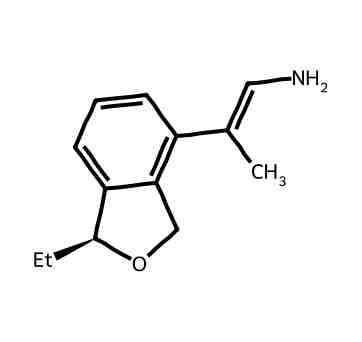 CC[C@@H]1OCc2c(/C(C)=C/N)cccc21